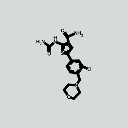 NC(=O)Nc1sc(-c2ccc(CN3CCOCC3)c(Cl)c2)cc1C(N)=O